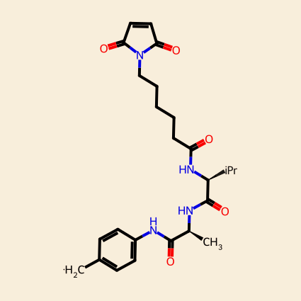 [CH2]c1ccc(NC(=O)[C@H](C)NC(=O)[C@@H](NC(=O)CCCCCN2C(=O)C=CC2=O)C(C)C)cc1